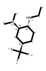 CCN[C@@H]1CC[C@@H](C(F)(F)F)C[C@H]1N(C)C